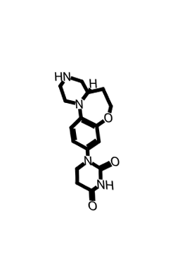 O=C1CCN(c2ccc3c(c2)OCC[C@H]2CNCCN32)C(=O)N1